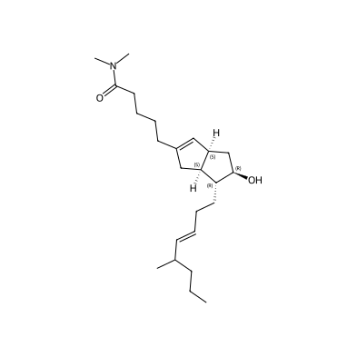 CCCC(C)C=CCC[C@@H]1[C@H]2CC(CCCCC(=O)N(C)C)=C[C@H]2C[C@H]1O